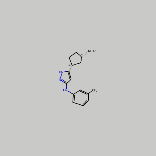 CC(=O)N[C@H]1CC[C@@H](c2cc(Nc3cccc(C(F)(F)F)c3)n[nH]2)C1